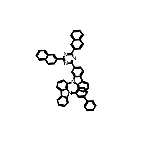 c1ccc(-c2cccc(-n3c4ccccc4c4cccc(-n5c6ccccc6c6ccc(-c7nc(-c8ccc9ccccc9c8)nc(-c8ccc9ccccc9c8)n7)cc65)c43)c2)cc1